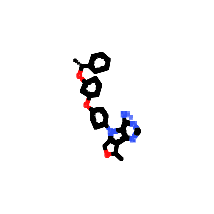 CC1OCc2c1c1ncnc(N)c1n2-c1ccc(Oc2cccc(O[C@H](C)c3ccccc3)c2)cc1